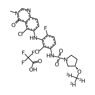 O=C(O)C(F)(F)F.[2H]C([2H])([2H])O[C@@H]1CCN(S(=O)(=O)Nc2ccc(F)c(Nc3ccc4ncn(C)c(=O)c4c3Cl)c2Cl)C1